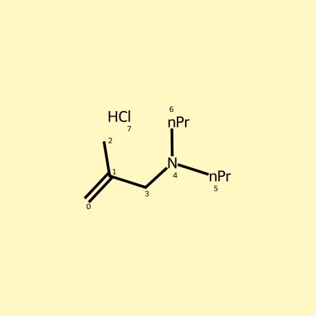 C=C(C)CN(CCC)CCC.Cl